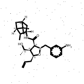 C=CC[C@@H]1ON(Cc2cccc(N)c2)[C@H](C(=O)N[C@H]2C[C@H]3C[C@@H](C2C)C3(C)C)[C@@H]1[C@H](C)O